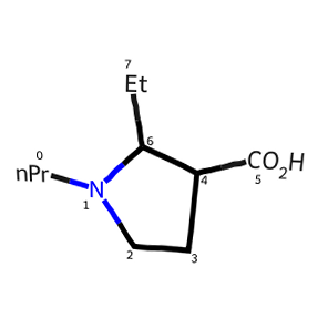 CCCN1CCC(C(=O)O)C1CC